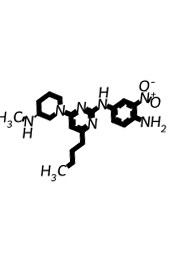 CCCCc1cc(N2CCC[C@@H](NC)C2)nc(Nc2ccc(N)c([N+](=O)[O-])c2)n1